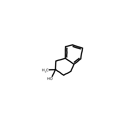 CC1(O)CCc2ccccc2C1